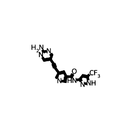 Nc1ncc(C#Cc2cncc(C(=O)Nc3cc(C(F)(F)F)[nH]n3)c2)cn1